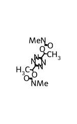 CNC(=O)OC(C)c1nnc(C(C)OC(=O)NC)nn1